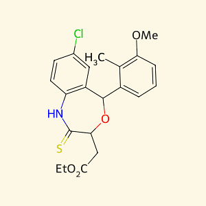 CCOC(=O)CC1OC(c2cccc(OC)c2C)c2cc(Cl)ccc2NC1=S